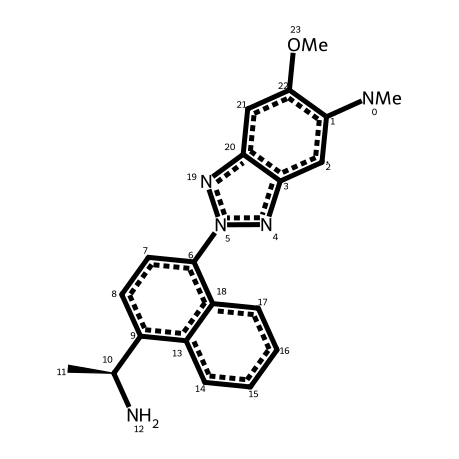 CNc1[c]c2nn(-c3ccc([C@H](C)N)c4ccccc34)nc2cc1OC